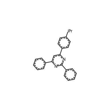 CC(C)c1ccc(-c2cc(-c3ccccc3)nc(-c3ccccc3)n2)cc1